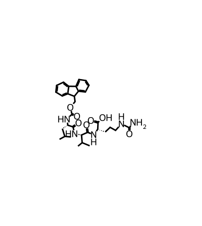 CC(C)C[C@H](NC(=O)OCC1c2ccccc2-c2ccccc21)C(=O)N[C@H](C(=O)N[C@@H](CCCNC(N)=O)C(=O)O)C(C)C